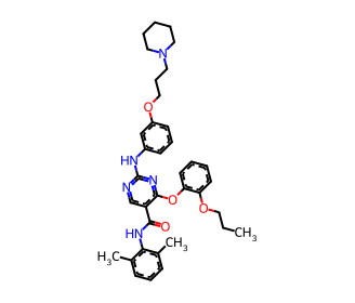 CCCOc1ccccc1Oc1nc(Nc2cccc(OCCCN3CCCCC3)c2)ncc1C(=O)Nc1c(C)cccc1C